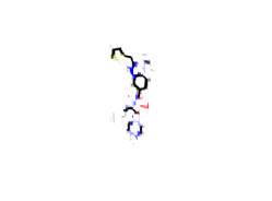 CCC(CC)n1c(Cc2cccs2)nc2cc(C(=O)NC(CC(C)C)C(=O)N3CCN(C)CC3)ccc21